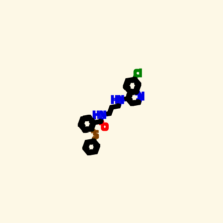 O=C(NCCCNc1ccnc2cc(Cl)ccc12)c1ccccc1Sc1ccccc1